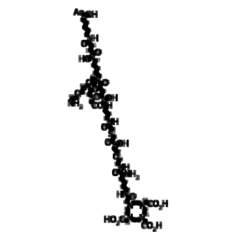 CC(=O)N(O)CCCCCNC(=O)CCC(=O)N(O)CCCCCN(C(=O)CCC(=O)N(O)CCCCCNC(=O)CSCC(=O)N(O)CCOCCNC(=O)[C@@H](N)CCCCNC(=O)CN1CCN(CC(=O)O)CCN(CC(=O)O)CCN(CC(=O)O)CC1)C(C)(C)ON(CCOCCN)C(=O)CSCC(=O)O